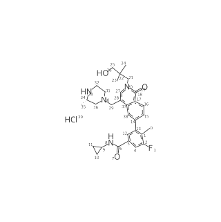 Cc1c(F)cc(C(=O)NC2CC2)cc1-c1ccc2c(=O)n(CC(C)(C)CO)cc(CN3CCN[C@@H](C)C3)c2c1.Cl